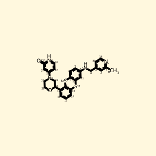 Cc1cc(CNc2ccc3c(c2)Sc2cccc(C4CN(c5cc[nH]c(=O)c5)CCO4)c2S3)ccn1